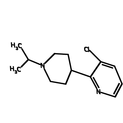 CC(C)N1CCC(c2ncccc2Cl)CC1